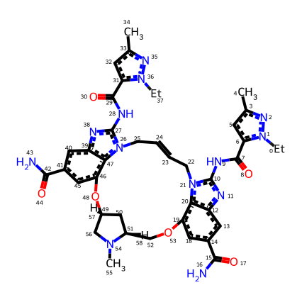 CCn1nc(C)cc1C(=O)Nc1nc2cc(C(N)=O)cc3c2n1C/C=C/Cn1c(NC(=O)c2cc(C)nn2CC)nc2cc(C(N)=O)cc(c21)O[C@@H]1C[C@H](CO3)N(C)C1